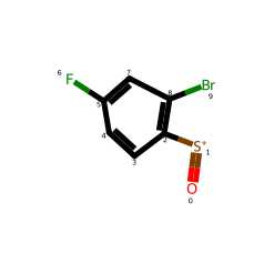 O=[S+]c1ccc(F)cc1Br